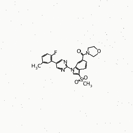 Cc1ccc(F)c(-c2cnc(-n3cc(S(C)(=O)=O)c4ccc(C(=O)N5CCOCC5)cc43)nc2)c1